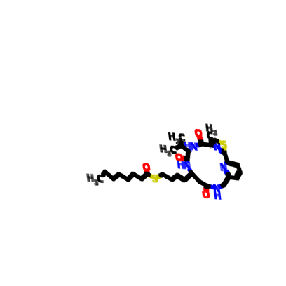 CCCCCCCC(=O)SCC/C=C/C1CC(=O)NCc2cccc(n2)C2=N[C@@](C)(CS2)C(=O)NC(C(C)C)C(=O)N1